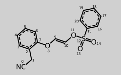 N#CCc1ccccc1OC=COS(=O)(=O)c1ccccc1